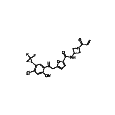 C=CC(=O)N1CC(NC(=O)c2ccc(CNc3cc(C4CC4(F)F)c(Cl)cc3O)o2)C1